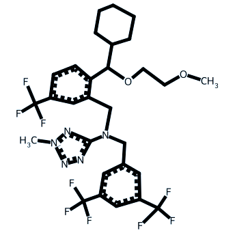 COCCOC(c1ccc(C(F)(F)F)cc1CN(Cc1cc(C(F)(F)F)cc(C(F)(F)F)c1)c1nnn(C)n1)C1CCCCC1